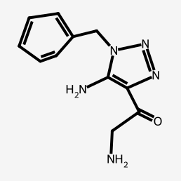 NCC(=O)c1nnn(Cc2ccccc2)c1N